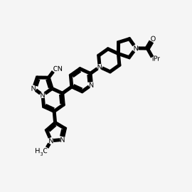 CC(C)C(=O)N1CCC2(CCN(c3ccc(-c4cc(-c5cnn(C)c5)cn5ncc(C#N)c45)cn3)CC2)C1